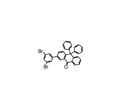 O=C1c2ccccc2C(c2ccccc2)(c2ccccc2)c2ccc(-c3cc(Br)cc(Br)c3)cc21